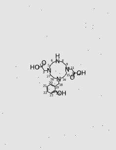 O=C(O)CN1CCNCCN(CC(=O)O)CCN(Cc2ccccc2O)CC1